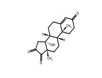 C[C@]12CCC(=O)C=C1CC[C@@H]1[C@H]2CC[C@]2(C)C(=O)C(=O)C[C@@]12O